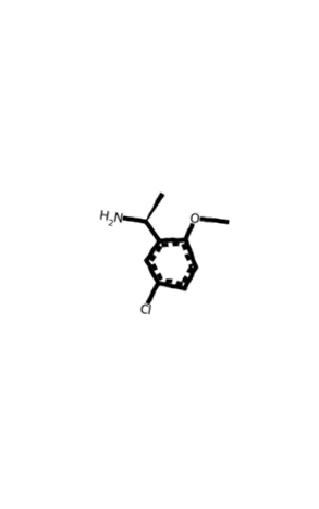 COc1ccc(Cl)cc1[C@H](C)N